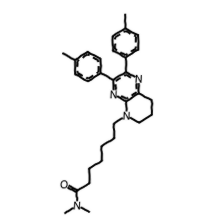 Cc1ccc(-c2nc3c(nc2-c2ccc(C)cc2)N(CCCCCCC(=O)N(C)C)CCC3)cc1